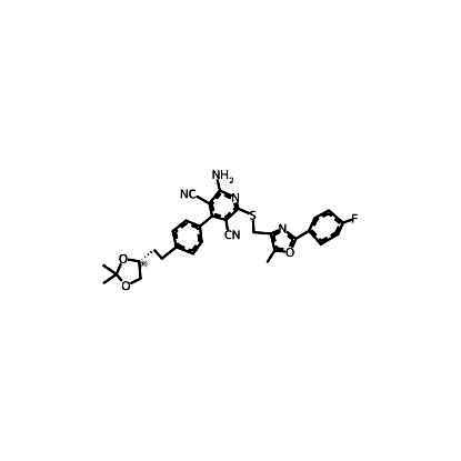 Cc1oc(-c2ccc(F)cc2)nc1CSc1nc(N)c(C#N)c(-c2ccc(CC[C@@H]3COC(C)(C)O3)cc2)c1C#N